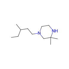 CCC(C)CCN1CCNC(C)(C)C1